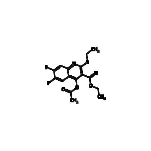 CCOC(=O)c1c(SCC)nc2cc(F)c(F)cc2c1OC(C)=O